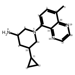 Cc1ccc(N2CC(N)CC(C3CC3)C2)c2nccnc12